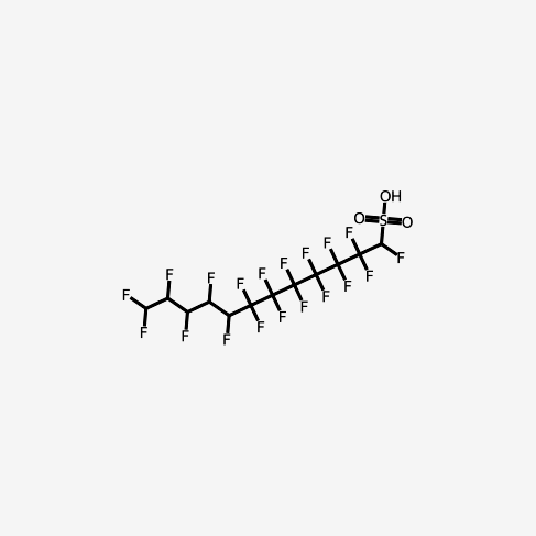 O=S(=O)(O)C(F)C(F)(F)C(F)(F)C(F)(F)C(F)(F)C(F)(F)C(F)(F)C(F)C(F)C(F)C(F)C(F)F